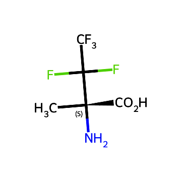 C[C@](N)(C(=O)O)C(F)(F)C(F)(F)F